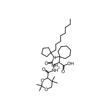 CCCCCCCCC1(N(C(N)=O)C2(C(CNC(=O)C3OC(C)(C)OCC3(C)C)C(=O)O)CCCCCC2)CCCC1